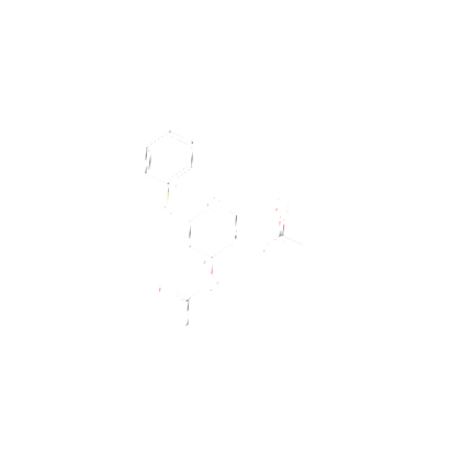 CC(=O)OC1C[C@H](Sc2ccccc2)OC[C@@H]1OC(C)=O